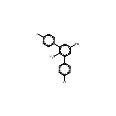 Cc1cc(-c2ccc(Cl)cc2)c(N)c(-c2ccc(Cl)cc2)c1